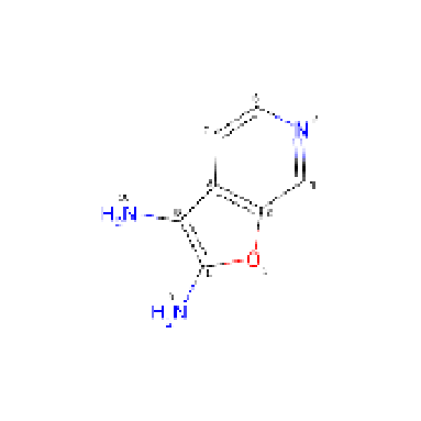 Nc1oc2cnccc2c1N